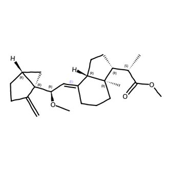 C=C1CC[C@@H]2C[C@]12[C@@H](/C=C1\CCC[C@]2(C)[C@@H]([C@H](C)C(=O)OC)CC[C@@H]12)OC